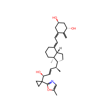 C=C1/C(=C\C=C2/CCC[C@]3(C)[C@@H]([C@@H](C)/C=C/[C@H](O)C4(c5ncc(C)o5)CC4)CC[C@@H]23)C[C@@H](O)C[C@@H]1O